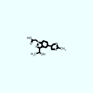 Cc1ncc(-c2ccc3c(c2)c(C(C)O)nn3CC(=O)O)cn1